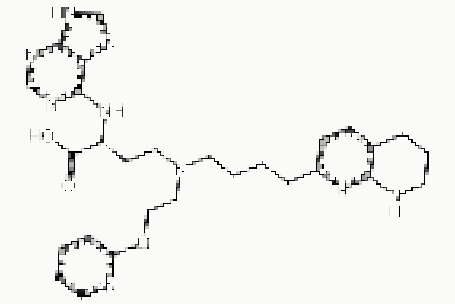 O=C(O)[C@H](CCN(CCCCc1ccc2c(n1)NCCC2)CCOc1ccccn1)Nc1ncnc2[nH]cnc12